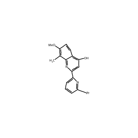 COc1ccc2c(O)cc(-c3cccc(C(C)C)n3)nc2c1C